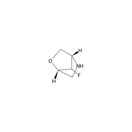 FC1[C@@H]2CO[C@H]1CN2